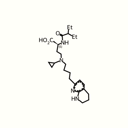 CCC(CC)C(=O)N[C@@H](CCN(CCCCc1ccc2c(n1)NCCC2)C1CC1)C(=O)O